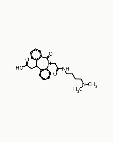 CN(C)CCCCNC(=O)CN1C(=O)c2ccccc2C(CC(=O)O)c2ccccc21